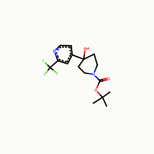 CC(C)(C)OC(=O)N1CCC(O)(c2ccnc(C(F)(F)F)c2)CC1